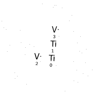 [Ti].[Ti].[V].[V]